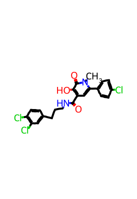 Cn1c(-c2ccc(Cl)cc2)cc(C(=O)NCCCc2ccc(Cl)c(Cl)c2)c(O)c1=O